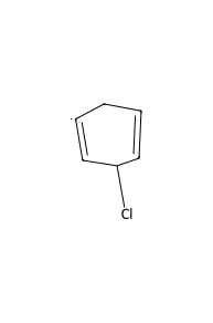 ClC1C=[C]CC=C1